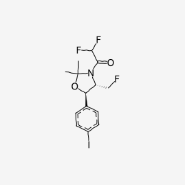 CC1(C)O[C@H](c2ccc(I)cc2)[C@@H](CF)N1C(=O)C(F)F